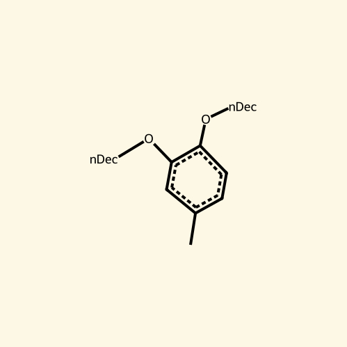 CCCCCCCCCCOc1ccc(C)cc1OCCCCCCCCCC